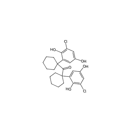 O=C(C1(c2cc(O)cc(Cl)c2O)CCCCC1)C1(c2cc(O)cc(Cl)c2O)CCCCC1